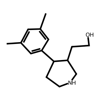 Cc1cc(C)cc(C2CCNCC2CCO)c1